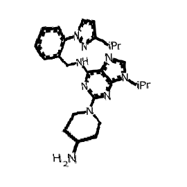 CC(C)c1ccn(-c2ccccc2CNc2nc(N3CCC(N)CC3)nc3c2ncn3C(C)C)n1